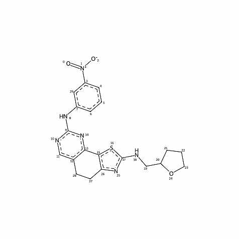 O=[N+]([O-])c1cccc(Nc2ncc3c(n2)-c2sc(NCC4CCCO4)nc2CC3)c1